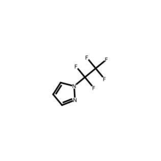 FC(F)(F)C(F)(F)n1cccn1